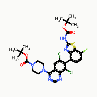 CC(C)(C)OC(=O)Nc1nc2c(-c3c(Cl)cc4c(N5CCN(C(=O)OC(C)(C)C)CC5)ncnc4c3Cl)ccc(F)c2s1